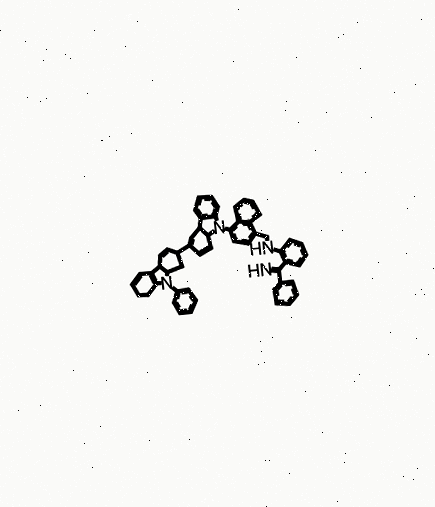 N=C(c1ccccc1)c1ccccc1NCc1ccc(N2c3ccccc3C3C=C(C4C=CC5C6=C(CCC=C6)N(c6ccccc6)C5C4)C=CC32)c2ccccc12